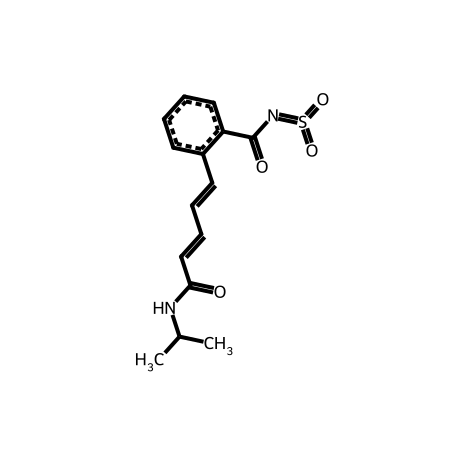 CC(C)NC(=O)C=CC=Cc1ccccc1C(=O)N=S(=O)=O